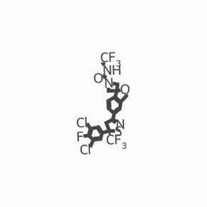 O=C(NCC(F)(F)F)N1CC2(C1)OCc1cc(C3=NS[C@@](c4cc(Cl)c(F)c(Cl)c4)(C(F)(F)F)C3)ccc12